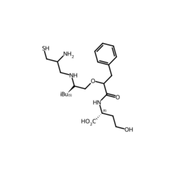 CC[C@H](C)C(COC(Cc1ccccc1)C(=O)N[C@H](CCO)C(=O)O)NCC(N)CS